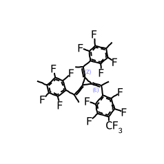 CC(=C1C(=C(\C)c2c(F)c(F)c(C)c(F)c2F)/C1=C(\C)c1c(F)c(F)c(C(F)(F)F)c(F)c1F)c1c(F)c(F)c(C)c(F)c1F